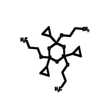 CCCO[Si]1(C2CC2)O[Si](OCCC)(C2CC2)O[Si](OCCC)(C2CC2)O1